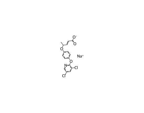 CC(C=CC(=O)[O-])Oc1ccc(Oc2ncc(Cl)cc2Cl)cc1.[Na+]